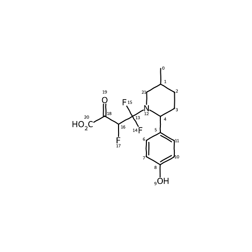 CC1CCC(c2ccc(O)cc2)N(C(F)(F)C(F)C(=O)C(=O)O)C1